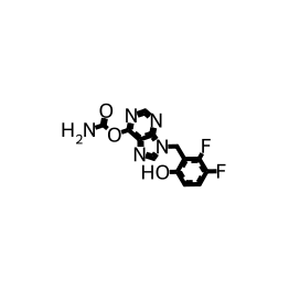 NC(=O)Oc1ncnc2c1ncn2Cc1c(O)ccc(F)c1F